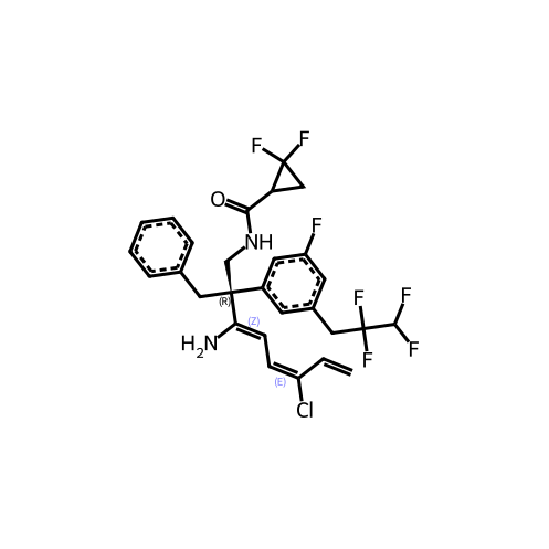 C=C/C(Cl)=C\C=C(/N)[C@](CNC(=O)C1CC1(F)F)(Cc1ccccc1)c1cc(F)cc(CC(F)(F)C(F)F)c1